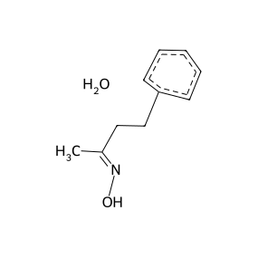 CC(CCc1ccccc1)=NO.O